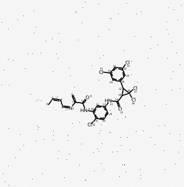 C=C(/N=C\C=C/C)C(=O)Nc1cc(NC(=O)C2C(c3cc(Cl)cc(Cl)c3)C2(Cl)Cl)ccc1Cl